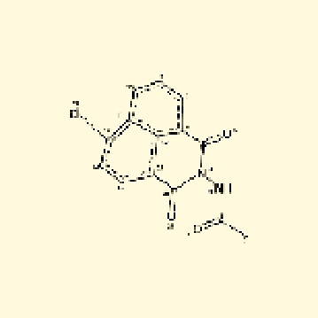 CC(=O)NN1C(=O)c2cccc3c(Cl)ccc(c23)C1=O